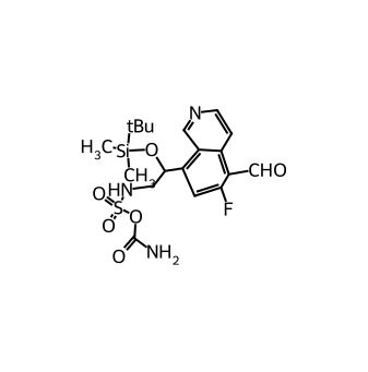 CC(C)(C)[Si](C)(C)OC(CNS(=O)(=O)OC(N)=O)c1cc(F)c(C=O)c2ccncc12